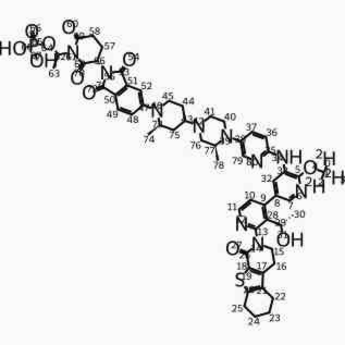 [2H]C([2H])([2H])Oc1ncc(-c2ccnc(N3CCc4c(sc5c4CCCC5)C3=O)c2[C@H](C)O)cc1Nc1ccc(N2CCN(C3CCN(c4ccc5c(c4)C(=O)N([C@H]4CCC(=O)N(C(C)OP(=O)(O)O)C4=O)C5=O)[C@H](C)C3)C[C@@H]2C)cn1